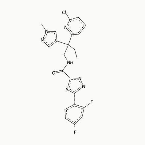 CCC(CNC(=O)c1nnc(-c2ccc(F)cc2F)s1)(c1cnn(C)c1)c1cccc(Cl)n1